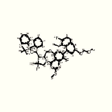 CCc1c(F)ccc2cc(OCOC)cc(-c3nc4c5c(nc(SC)nc5c3F)N(CC(F)(F)F)[C@@H](CCO[Si](c3ccccc3)(c3ccccc3)C(C)(C)C)CO4)c12